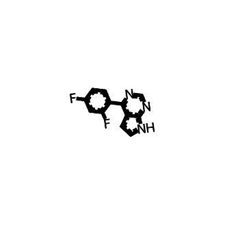 Fc1ccc(-c2ncnc3[nH]ccc23)c(F)c1